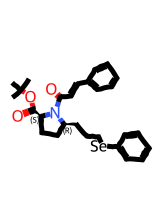 CC(C)(C)OC(=O)[C@@H]1CC[C@H](CCC[Se]c2ccccc2)N1C(=O)C=Cc1ccccc1